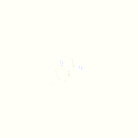 NC1CCN(SI)c2cc(Br)ccc21